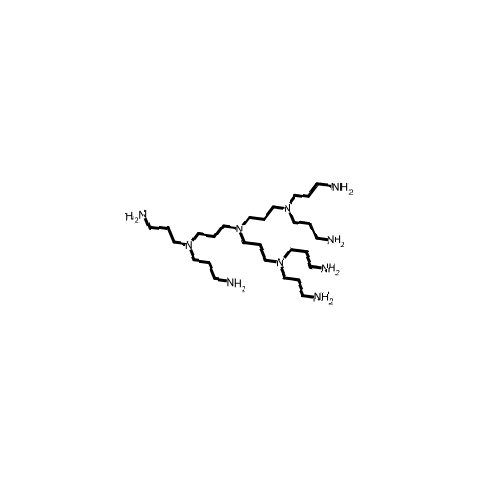 NCCCN(CCCN)CCCN(CCCN(CCCN)CCCN)CCCN(CCCN)CCCN